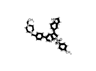 CCN1CCN(Cc2ccc(-c3cnc4c(c3)c(-c3ccc5[nH]ccc5c3)cn4S(=O)(=O)c3ccc(C)cc3)cc2)CC1